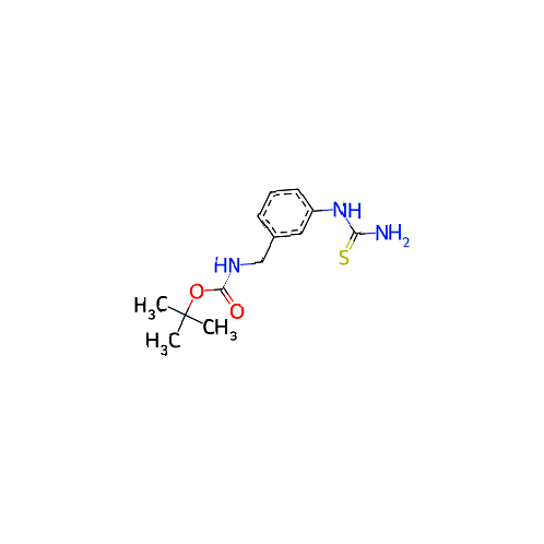 CC(C)(C)OC(=O)NCc1cccc(NC(N)=S)c1